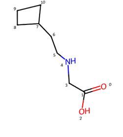 O=C(O)CNCCC1CCC1